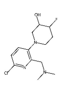 CN(C)Cc1nc(Cl)ccc1N1CCC(F)C(O)C1